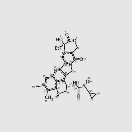 CC[C@@]1(O)C(=O)OCc2c1cc1n(c2=O)Cc2c-1nc1cc(F)c(C)c3c1c2[C@H](NC(=O)[C@H](O)C1CC1)CS3